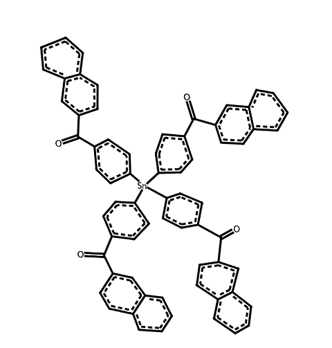 O=C(c1cc[c]([Sn]([c]2ccc(C(=O)c3ccc4ccccc4c3)cc2)([c]2ccc(C(=O)c3ccc4ccccc4c3)cc2)[c]2ccc(C(=O)c3ccc4ccccc4c3)cc2)cc1)c1ccc2ccccc2c1